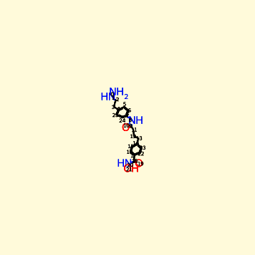 NNCCc1ccc(NC(=O)CCCc2ccc(C(=O)NO)cc2)cc1